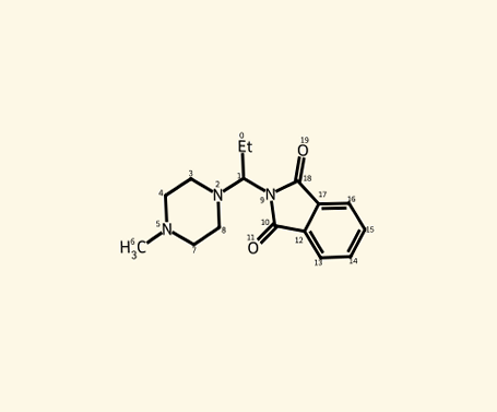 CCC(N1CCN(C)CC1)N1C(=O)c2ccccc2C1=O